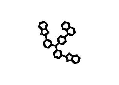 c1cc(-c2nc3ccccc3o2)cc(N(c2ccc(-c3cccc4ccccc34)cc2)c2cccc(-c3nc4ccccc4o3)c2)c1